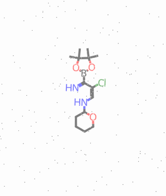 CC1(C)OB(C(=N)/C(Cl)=C\NC2CCCCO2)OC1(C)C